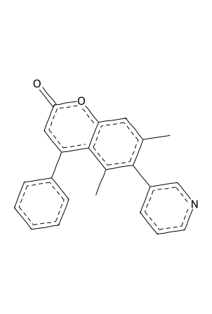 Cc1cc2oc(=O)cc(-c3ccccc3)c2c(C)c1-c1cccnc1